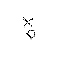 C1N=NN=N1.O=S(=O)(O)O